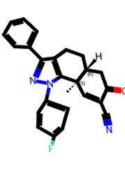 C[C@@]12C=C(C#N)C(=O)C[C@H]1CCc1c(-c3ccccc3)nn(-c3ccc(F)cc3)c12